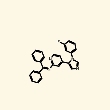 Fc1cccc(-n2cncc2-c2ccnc(N=C(c3ccccc3)c3ccccc3)c2)c1